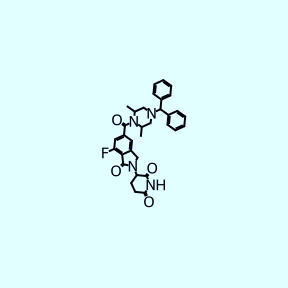 CC1CN(C(c2ccccc2)c2ccccc2)CC(C)N1C(=O)c1cc(F)c2c(c1)CN(C1CCC(=O)NC1=O)C2=O